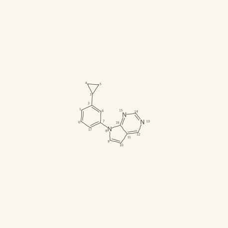 c1cc(C2CC2)cc(-n2ccc3cncnc32)c1